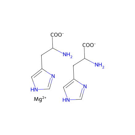 NC(Cc1c[nH]cn1)C(=O)[O-].NC(Cc1c[nH]cn1)C(=O)[O-].[Mg+2]